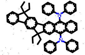 CCC1(CC)c2ccccc2-c2cc3c(cc21)-c1cc2c(N(c4ccccc4)c4ccccc4)c4ccccc4c(N(c4ccccc4)c4ccccc4)c2cc1C3(CC)CC